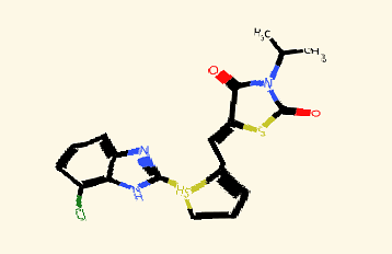 CC(C)N1C(=O)S/C(=C\C2=CC=C[SH]2c2nc3cccc(Cl)c3[nH]2)C1=O